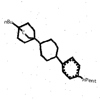 CCCCCc1ccc(C2CCC(C34CCC(CCCC)(CC3)CC4)CC2)cc1